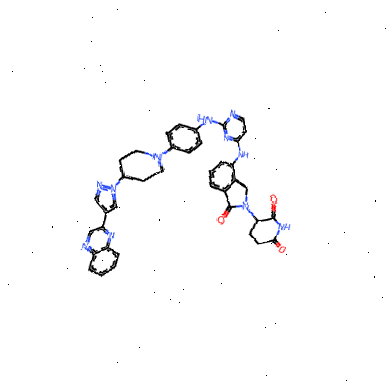 O=C1CCC(N2Cc3c(Nc4ccnc(Nc5ccc(N6CCC(n7cc(-c8cnc9ccccc9n8)cn7)CC6)cc5)n4)cccc3C2=O)C(=O)N1